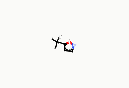 CCC(C)(C)c1ccno1